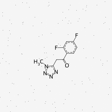 Cn1nnnc1CC(=O)c1ccc(F)cc1F